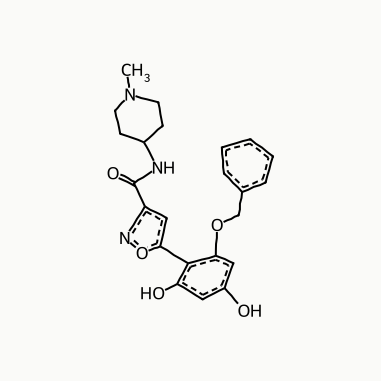 CN1CCC(NC(=O)c2cc(-c3c(O)cc(O)cc3OCc3ccccc3)on2)CC1